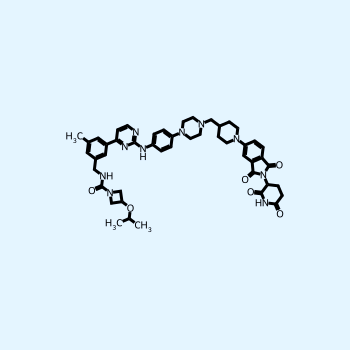 Cc1cc(CNC(=O)N2CC(OC(C)C)C2)cc(-c2ccnc(Nc3ccc(N4CCN(CC5CCN(c6ccc7c(c6)C(=O)N(C6CCC(=O)NC6=O)C7=O)CC5)CC4)cc3)n2)c1